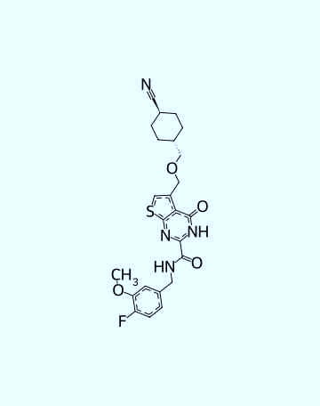 COc1cc(CNC(=O)c2nc3scc(COC[C@H]4CC[C@H](C#N)CC4)c3c(=O)[nH]2)ccc1F